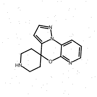 c1cnc2c(c1)-n1nccc1C1(CCNCC1)O2